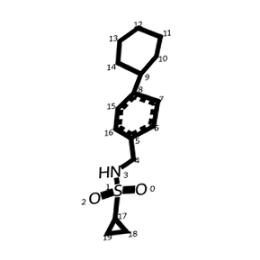 O=S(=O)(NCc1ccc(C2CCCCC2)cc1)C1CC1